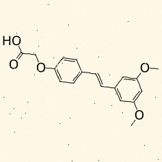 COc1cc(C=Cc2ccc(OCC(=O)O)cc2)cc(OC)c1